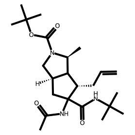 C=CC[C@H]1C2[C@H](CN(C(=O)OC(C)(C)C)[C@H]2C)CC1(NC(C)=O)C(=O)NC(C)(C)C